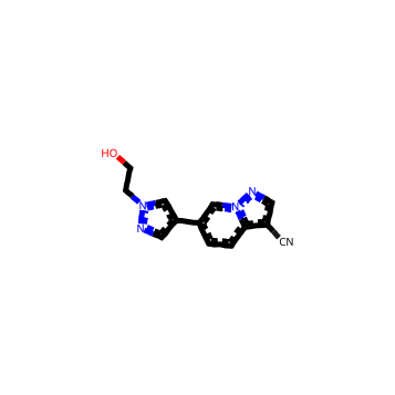 N#Cc1cnn2cc(-c3cnn(CCO)c3)ccc12